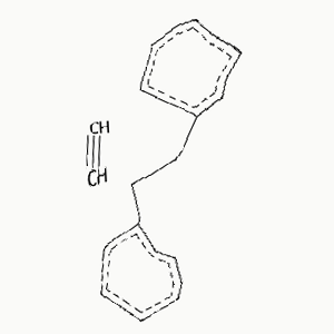 C#C.c1ccc(CCc2ccccc2)cc1